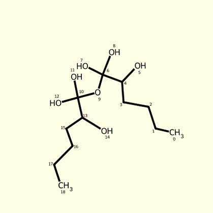 CCCCC(O)C(O)(O)OC(O)(O)C(O)CCCC